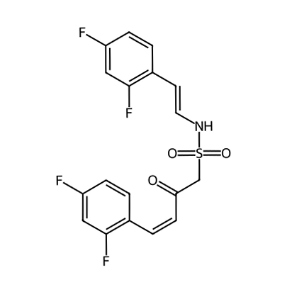 O=C(/C=C\c1ccc(F)cc1F)CS(=O)(=O)NC=Cc1ccc(F)cc1F